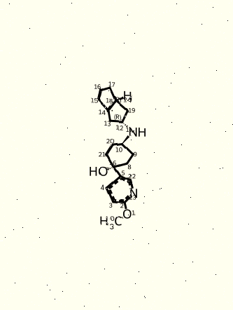 COc1ccc([C@]2(O)CC[C@H](N[C@@H]3C[C]4CCC[C@@H]4C3)CC2)cn1